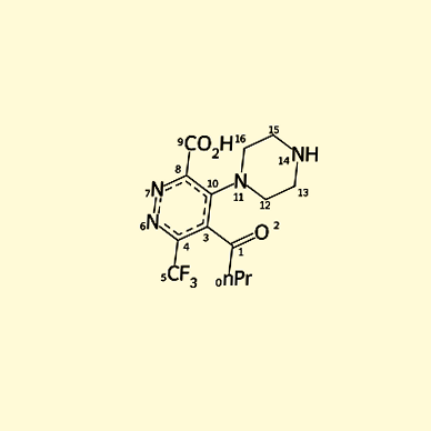 CCCC(=O)c1c(C(F)(F)F)nnc(C(=O)O)c1N1CCNCC1